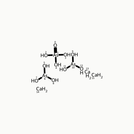 O=[As](O)(O)O.O[As](O)O.O[As](O)O.[CaH2].[CaH2].[CaH2]